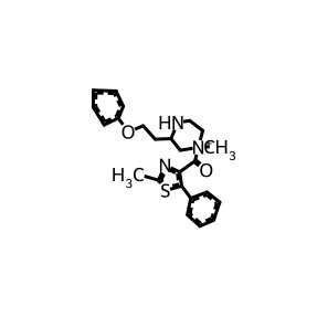 Cc1nc(C(=O)[N+]2(C)CCNC(CCOc3ccccc3)C2)c(-c2ccccc2)s1